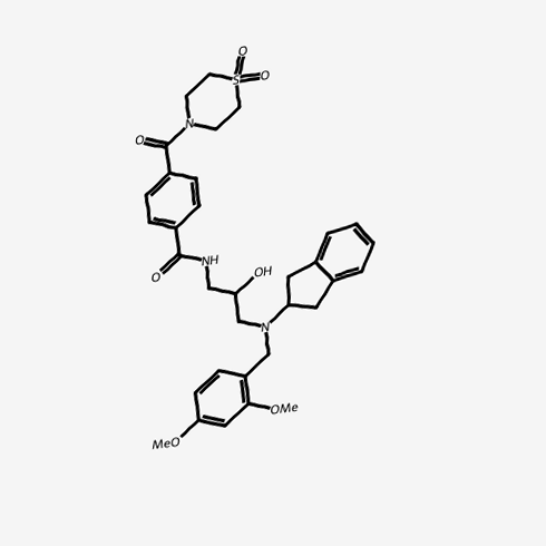 COc1ccc(CN(CC(O)CNC(=O)c2ccc(C(=O)N3CCS(=O)(=O)CC3)cc2)C2Cc3ccccc3C2)c(OC)c1